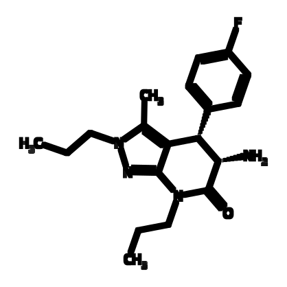 CCCN1C(=O)[C@@H](N)[C@@H](c2ccc(F)cc2)c2c1nn(CCC)c2C